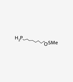 CSOCCCCCCCCP